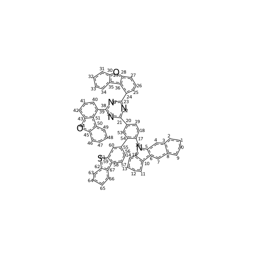 c1ccc2cc3c(cc2c1)c1ccccc1n3-c1ccc(-c2nc(-c3cccc4oc5ccccc5c34)nc(-c3cccc4oc5ccccc5c34)n2)cc1-c1ccc2c(c1)sc1ccccc12